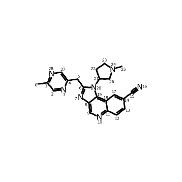 Cc1cnc(Cc2nc3cnc4ccc(C#N)cc4c3n2C2CCN(C)C2)cn1